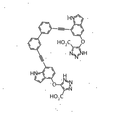 O=C(O)c1nn[nH]c1Oc1cc(C#Cc2cccc(-c3cccc(C#Cc4ccc(Oc5[nH]nnc5C(=O)O)c5cc[nH]c45)c3)c2)c2[nH]ccc2c1